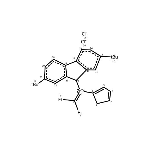 CC[C](CC)=[Zr+2]([C]1=CC=CC1)[CH]1c2cc(C(C)(C)C)ccc2-c2ccc(C(C)(C)C)cc21.[Cl-].[Cl-]